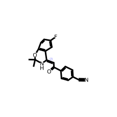 CC1(C)N/C(=C\C(=O)c2ccc(C#N)cc2)c2cc(F)ccc2O1